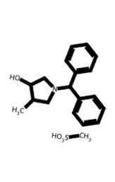 CC1CN(C(c2ccccc2)c2ccccc2)CC1O.CS(=O)(=O)O